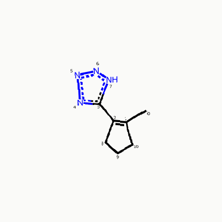 CC1=C(c2nnn[nH]2)CCC1